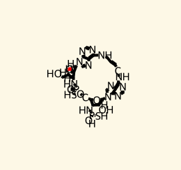 O=[PH](S)NC1C2COP(=O)(S)N[C@@H]3C(CO)O[C@H]([C@@H]3O)n3cnc4c(ncnc43)NC/C=C/CNc3ncnc4c3ncn4[C@H](O2)[C@@H]1O